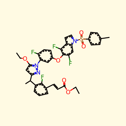 CCOC(=O)/C=C/c1cccc(C(C)c2cc(OCC)n(-c3cc(Oc4c(F)cc5c(ccn5S(=O)(=O)c5ccc(C)cc5)c4F)ccc3F)n2)c1F